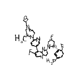 C[C@H]1CN(C2COC2)CCN1c1ccc(-c2c(F)cnc3ccc(N4C[C@@H](F)C[C@@H]4c4cc(P)ccc4F)nc23)cn1